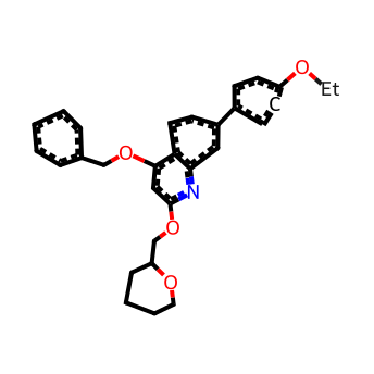 CCOc1ccc(-c2ccc3c(OCc4ccccc4)cc(OCC4CCCCO4)nc3c2)cc1